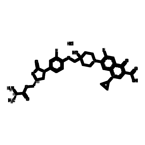 C[C@H](N)C(=O)OC[C@H]1CN(c2ccc(OCC3(O)CCN(c4cc5c(cc4F)c(=O)c(C(=O)O)cn5C4CC4)CC3)c(F)c2)C(=O)O1.Cl